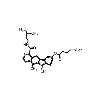 CCCCCCCCCCCCCC(=O)Oc1ccc2c(c1)c1cc3c(C(=O)NCCN(C)C)nccc3c(C)c1n2C